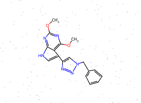 COc1nc(OC)c2c(-c3cn(Cc4ccccc4)nn3)c[nH]c2n1